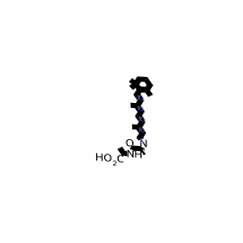 CC1=C(/C=C/C(C)=C/C=C/C(C)=C/C=N/[C@@H](C)C(=O)N[C@@H](C)C(=O)O)C(C)(C)CCC1